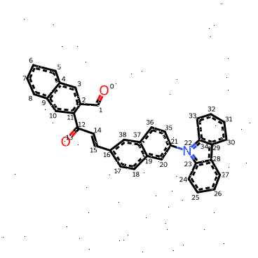 O=Cc1cc2ccccc2cc1C(=O)C=Cc1ccc2cc(-n3c4ccccc4c4ccccc43)ccc2c1